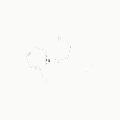 NC(CO)C(=O)O.Sc1ccccc1